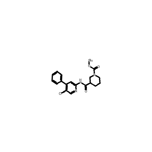 CC(C)(C)OC(=O)N1CCCC(C(=O)Nc2cc(-c3ccccc3)c(Cl)cn2)C1